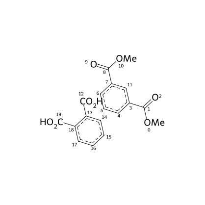 COC(=O)c1cccc(C(=O)OC)c1.O=C(O)c1ccccc1C(=O)O